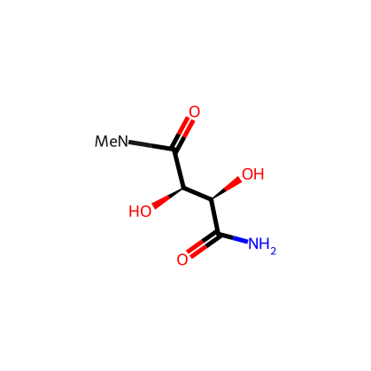 CNC(=O)[C@H](O)[C@@H](O)C(N)=O